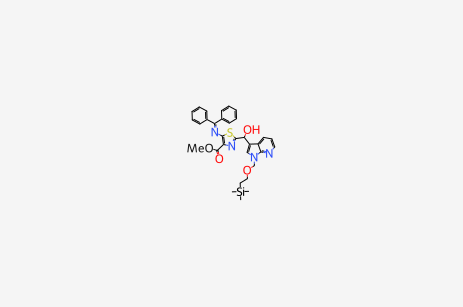 COC(=O)c1nc(C(O)c2cn(COCC[Si](C)(C)C)c3ncccc23)sc1N=C(c1ccccc1)c1ccccc1